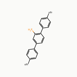 CCCc1ccc(-c2ccc(-c3ccc(CCC)cc3)c(P)c2)cc1